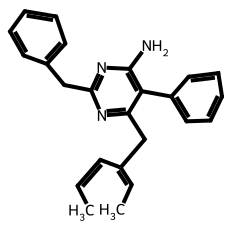 C/C=C\C(=C/C)Cc1nc(Cc2ccccc2)nc(N)c1-c1ccccc1